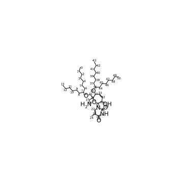 CCCCCCCC(CCCCCC)OCC1(CN)O[C@@H](n2cc(C)c(=O)[nH]c2=O)[C@@H](O)C=C[C@H]1OC(CCCCCCC)CCCCCCC